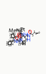 C#CCCC(=O)NC[C@H]1CC[C@H]2CC[C@@H](C(=O)NC(c3ccccc3)c3ccccc3)N2C(=O)[C@H]1NC(=O)[C@H](CC)NC